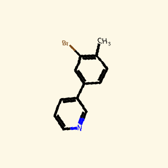 Cc1ccc(-c2cccnc2)cc1Br